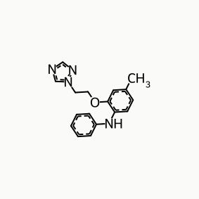 Cc1ccc(Nc2ccccc2)c(OCCn2cncn2)c1